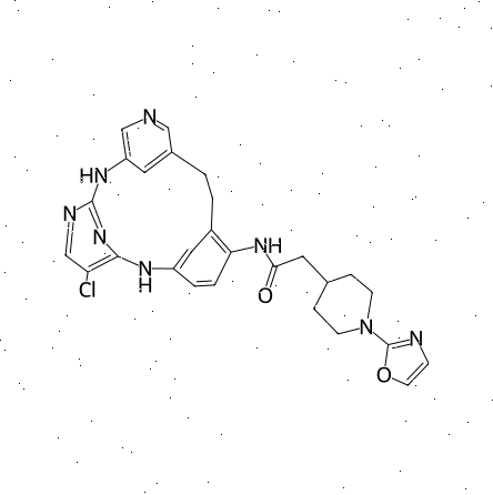 O=C(CC1CCN(c2ncco2)CC1)Nc1ccc2cc1CCc1cncc(c1)Nc1ncc(Cl)c(n1)N2